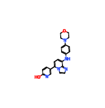 Oc1ccc(-c2ccc(Nc3ccc(N4CCOCC4)cc3)c3nccn23)cn1